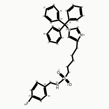 O=S(=O)(C[CH]CCCc1cn(C(c2ccccc2)(c2ccccc2)c2ccccc2)cn1)NCc1ccc(F)cc1